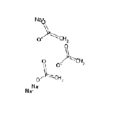 C=P(=O)[O-].C=P(=O)[O-].C=P(=O)[O-].[Na+].[Na+].[Na+]